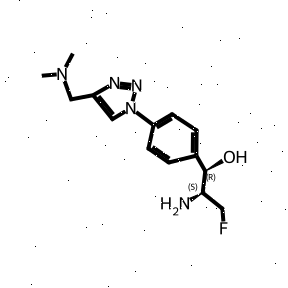 CN(C)Cc1cn(-c2ccc([C@@H](O)[C@H](N)CF)cc2)nn1